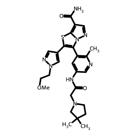 COCCn1cc(-c2sc3c(C(N)=O)cnn3c2-c2cc(NC(=O)CN3CCC(C)(C)C3)cnc2C)cn1